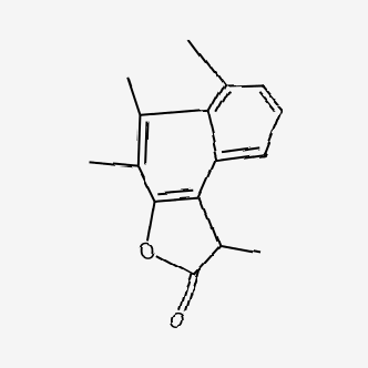 Cc1c2c(c3cccc(C)c3c1C)C(C)C(=O)O2